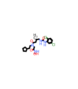 CC(CNC(=O)Nc1cc(Cl)ccc1Cl)CC(=O)N(CCC1CCCC1)CC(=O)NO